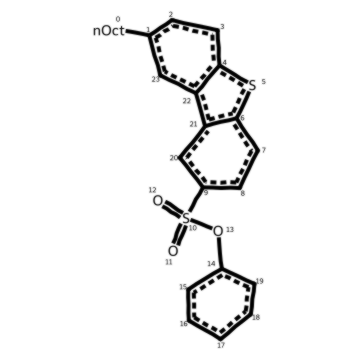 CCCCCCCCc1ccc2sc3ccc(S(=O)(=O)Oc4ccccc4)cc3c2c1